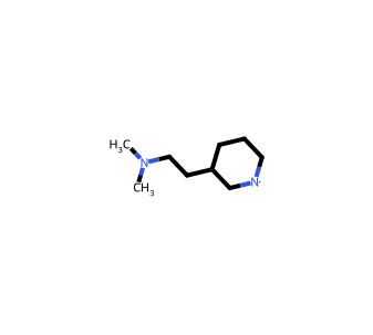 CN(C)CCC1CCC[N]C1